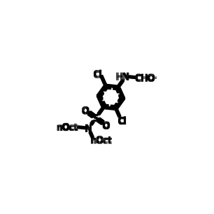 CCCCCCCCN(CCCCCCCC)S(=O)(=O)c1cc(Cl)c(N[C]=O)cc1Cl